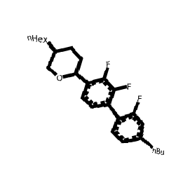 CCCCCCC1CCC(c2ccc(-c3ccc(CCCC)cc3F)c(F)c2F)OC1